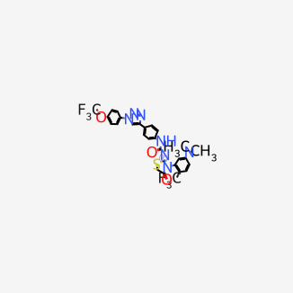 CN(C)c1ccc(C(F)(F)F)c(N2C(=O)CS/C2=N\C(=O)Nc2ccc(-c3cn(-c4ccc(OC(F)(F)F)cc4)nn3)cc2)c1